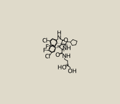 O=C(NCC[C@H](O)CO)[C@@H]1N[C@H](CC2CCCC2)[C@]2(C(=O)Nc3cc(Cl)c(F)cc32)[C@H]1c1ccc(F)c(Cl)c1